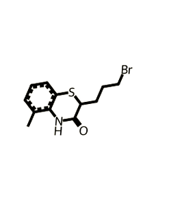 Cc1cccc2c1NC(=O)C(CCCBr)S2